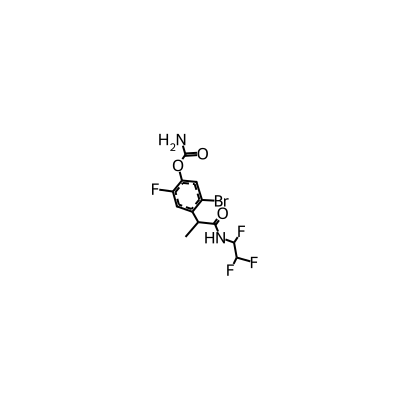 CC(C(=O)NC(F)C(F)F)c1cc(F)c(OC(N)=O)cc1Br